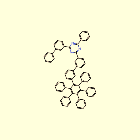 c1ccc(-c2cccc(-c3nc(-c4ccccc4)nc(-c4cccc(-c5cccc(-c6c(-c7ccccc7)c(-c7ccccc7)c(-c7ccccc7)c(-c7ccccc7)c6-c6ccccc6)c5)c4)n3)c2)cc1